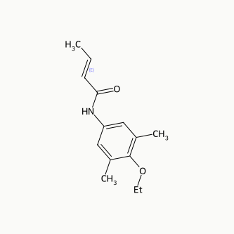 C/C=C/C(=O)Nc1cc(C)c(OCC)c(C)c1